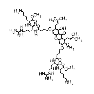 COC(=O)[C@@H](CCCCN)NC(=O)[C@H](CCCNC(=N)N)NC(=O)CCCOc1cc2oc3cc(OCCCC(=O)N[C@H](CCCNC(=N)N)C(=O)N[C@H](CCCCN)C(=O)OC)c(CC=C(C)C)c(O)c3c(=O)c2c(CC=C(C)C)c1OC